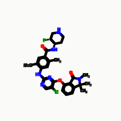 COc1cc(C(=O)N[C@H]2CCNC[C@H]2F)c(C)cc1Nc1ncc(Cl)c(Oc2cccc3c2C(=O)N(C)C3(C)C)n1